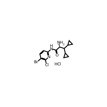 Cl.N[C@H](C(=O)Nc1ccc(Br)c(Cl)n1)C(C1CC1)C1CC1